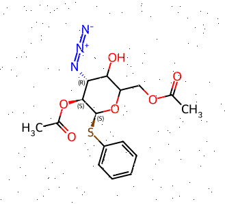 CC(=O)OCC1O[C@@H](Sc2ccccc2)[C@@H](OC(C)=O)[C@H](N=[N+]=[N-])C1O